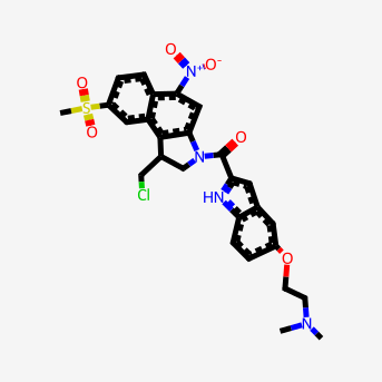 CN(C)CCOc1ccc2[nH]c(C(=O)N3CC(CCl)c4c3cc([N+](=O)[O-])c3ccc(S(C)(=O)=O)cc43)cc2c1